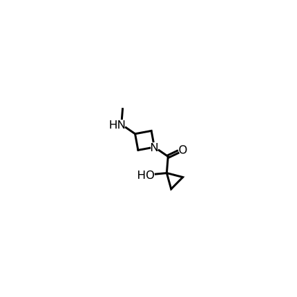 CNC1CN(C(=O)C2(O)CC2)C1